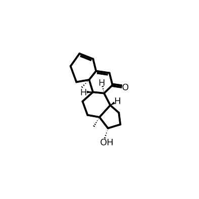 C[C@]12CC[C@H]3[C@@H](C(=O)C=C4C=CCC[C@@]43C)[C@@H]1CC[C@@H]2O